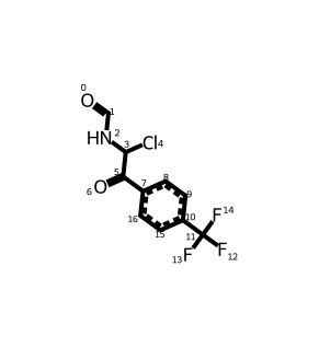 O=CNC(Cl)C(=O)c1ccc(C(F)(F)F)cc1